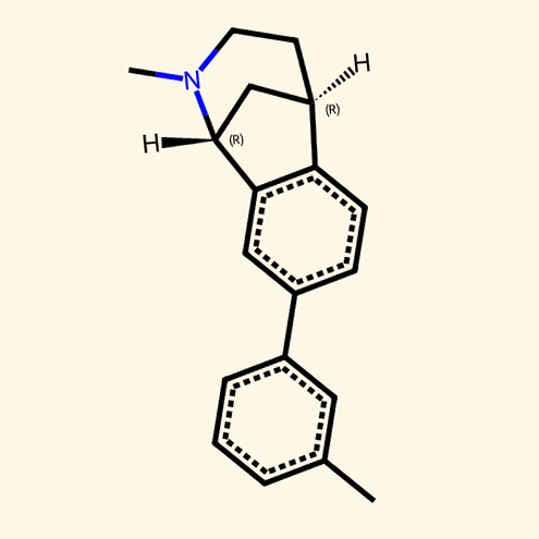 Cc1cccc(-c2ccc3c(c2)[C@H]2C[C@H]3CCN2C)c1